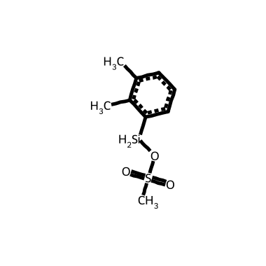 Cc1cccc([SiH2]OS(C)(=O)=O)c1C